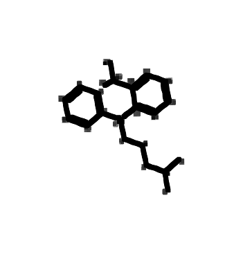 CC(C)CCCN(c1ccccc1)c1ccccc1C(C)C